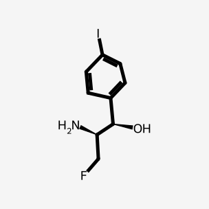 N[C@H](CF)[C@H](O)c1ccc(I)cc1